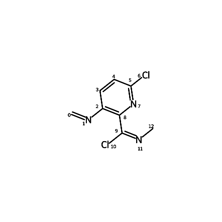 C=Nc1ccc(Cl)nc1/C(Cl)=N\C